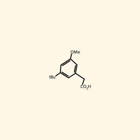 COc1cc(CC(=O)O)cc(C(C)(C)C)c1